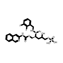 CC(=O)N(NCc1cccc(F)c1F)[C@H](COC(=O)Nc1cc2ccccc2cn1)CC(O)COP(=O)(O)O